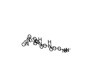 CC[C@@]1(OC(=O)CNC(=O)COCCNC(=O)COCCOCCN=[N+]=[N-])C(=O)OCc2c1cc1n(c2=O)Cc2cc3ccccc3nc2-1